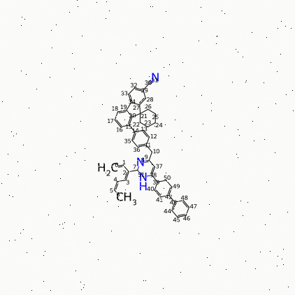 C=C/C(=C\C=C/C)C1N=C(Cc2ccc(-c3cccc4c3C3(CCCCC3)c3cc(C#N)ccc3-4)cc2)C=C(C2C=CC(c3ccccc3)=CC2)N1